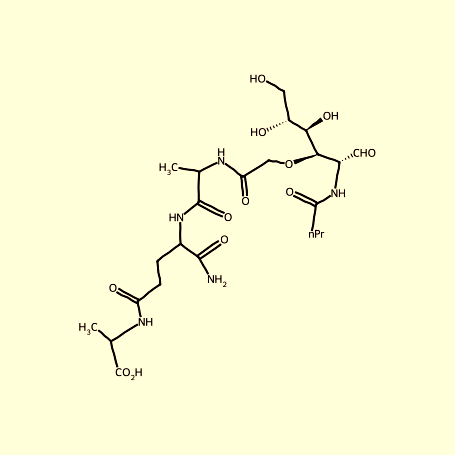 CCCC(=O)N[C@@H](C=O)[C@@H](OCC(=O)NC(C)C(=O)NC(CCC(=O)NC(C)C(=O)O)C(N)=O)[C@H](O)[C@H](O)CO